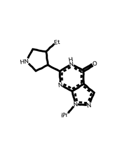 CCC1CNCC1c1nc2c(cnn2C(C)C)c(=O)[nH]1